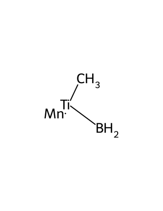 [BH2][Ti][CH3].[Mn]